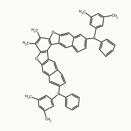 Cc1cc(C)cc(N(c2ccccc2)c2ccc3cc4c(cc3c2)oc2c(C)c(C)c3oc5cc6cc(N(c7ccccc7)c7cc(C)cc(C)c7)ccc6cc5c3c24)c1